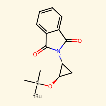 CC(C)(C)[Si](C)(C)O[C@@H]1C[C@H]1N1C(=O)c2ccccc2C1=O